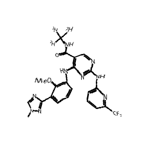 [2H]C([2H])([2H])NC(=O)c1cnc(Nc2cccc(C(F)(F)F)n2)nc1Nc1cccc(-c2ncn(C)n2)c1OC